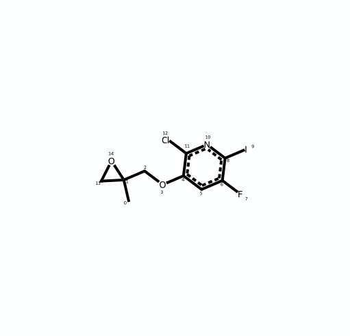 CC1(COc2cc(F)c(I)nc2Cl)CO1